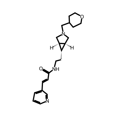 O=C(/C=C/c1cccnc1)NCC[C@@H]1[C@H]2CN(CC3CCOCC3)C[C@@H]12